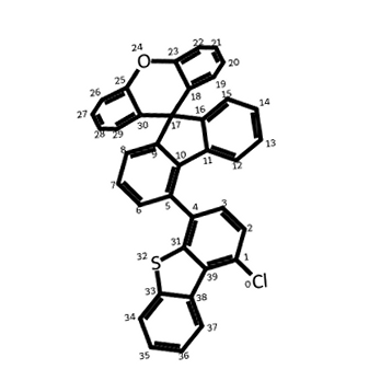 Clc1ccc(-c2cccc3c2-c2ccccc2C32c3ccccc3Oc3ccccc32)c2sc3ccccc3c12